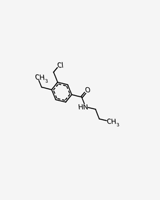 CCCNC(=O)c1ccc(CC)c(CCl)c1